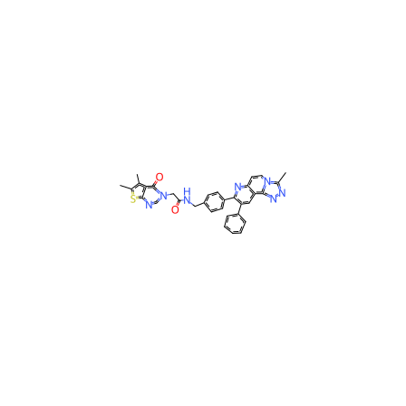 Cc1sc2ncn(CC(=O)NCc3ccc(-c4nc5ccn6c(C)nnc6c5cc4-c4ccccc4)cc3)c(=O)c2c1C